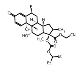 CCC(CC)OC(=O)O[C@]1(C(=O)OCC#N)[C@H](C)C[C@H]2[C@@H]3C[C@H](F)C4=CC(=O)C=C[C@]4(C)[C@@]3(F)[C@@H](O)C[C@@]21C